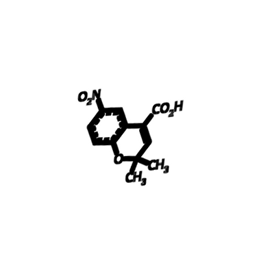 CC1(C)C=C(C(=O)O)c2cc([N+](=O)[O-])ccc2O1